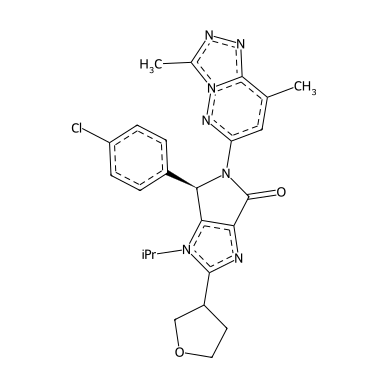 Cc1cc(N2C(=O)c3nc(C4CCOC4)n(C(C)C)c3[C@H]2c2ccc(Cl)cc2)nn2c(C)nnc12